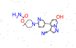 CC1(OC(N)=O)CCN(c2ccc(-c3cc(O)cn4ncc(C#N)c34)cn2)CC1